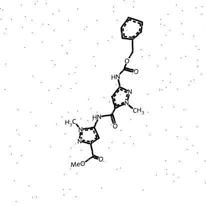 COC(=O)c1cc(NC(=O)c2cc(NC(=O)OCc3ccccc3)nn2C)n(C)n1